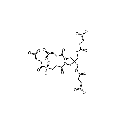 O=C(CC=S(=O)=O)OCC(COC(=O)CC=S(=O)=O)(COC(=O)CC=S(=O)=O)COC(=O)CCS(=O)(=O)C(=O)CC=S(=O)=O